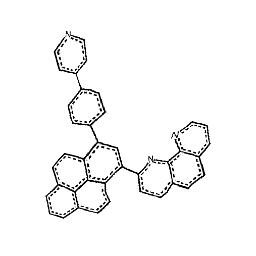 c1cnc2c(c1)ccc1ccc(-c3cc(-c4ccc(-c5ccncc5)cc4)c4ccc5cccc6ccc3c4c56)nc12